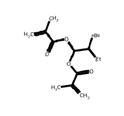 C=C(C)C(=O)OC(OC(=O)C(=C)C)C(CC)CCCC